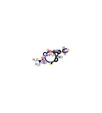 CCO[C@@H]1c2nc(cs2)-c2ccc3c(c2)c(c(-c2cc([C@H]4C[C@H]5COC[C@@H](C4)N5C)cnc2[C@H](C)OC)n3CC)CC(C)(C)COC(=O)[C@@H]2CCCN(N2)C(=O)[C@H]1NC(=O)[C@H]1[C@H](C)[C@@H]1C